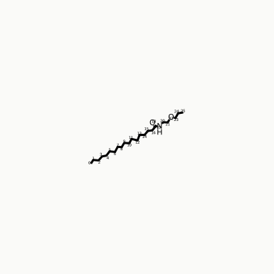 CCCCCCCCCCCCCCCCCC(=O)NCCOCCC